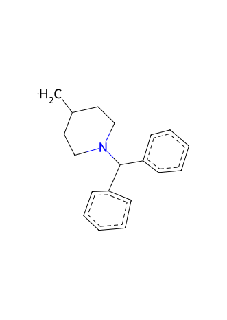 [CH2]C1CCN(C(c2ccccc2)c2ccccc2)CC1